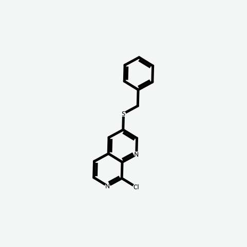 Clc1nccc2cc(SCc3ccccc3)cnc12